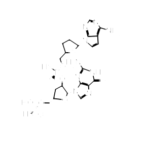 Nc1nc2c(ncn2[C@@H]2O[C@H](COP(=O)(O)S)CC2OP(=O)(S)OCC2CC[C@H](n3ccc4c(N)ncnc43)O2)c(=O)[nH]1